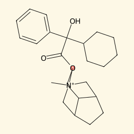 C[N+]1(C)CC2CCC(C1)C2COC(=O)C(O)(c1ccccc1)C1CCCCC1